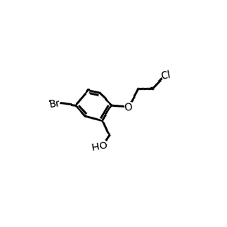 OCc1cc(Br)ccc1OCCCl